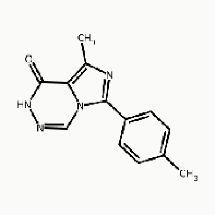 Cc1ccc(-c2nc(C)c3c(=O)[nH]ncn23)cc1